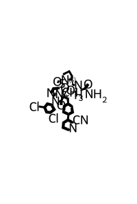 C[C@@]1(Cc2ccc(-c3cccnc3C#N)cc2)C(=O)N(c2cc(Cl)cc(Cl)c2)c2ncc(S(=O)(=O)N3CCC[C@H]3C(=O)NCC(N)=O)n21